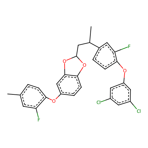 Cc1ccc(Oc2ccc3c(c2)OC(CC(C)c2ccc(Oc4cc(Cl)cc(Cl)c4)c(F)c2)O3)c(F)c1